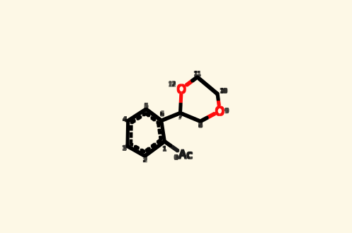 CC(=O)c1ccccc1C1COCCO1